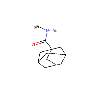 CCCN(C(C)=O)C(=O)C12CC3CC(CC(C3)C1)C2